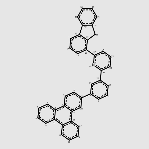 c1cc(-c2ccc3c4ccccc4c4ccccc4c3c2)cc(-c2cccc(-c3cccc4c3Cc3ccccc3-4)n2)c1